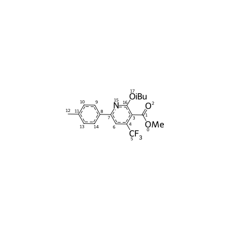 COC(=O)c1c(C(F)(F)F)cc(-c2ccc(C)cc2)nc1OCC(C)C